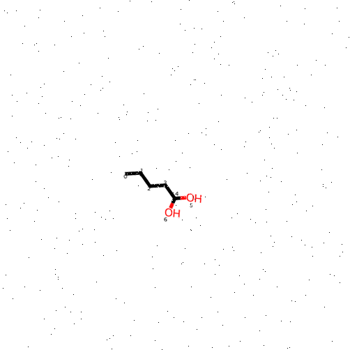 C[CH]CCC(O)O